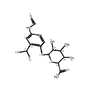 O=CNc1ccc(OC2OC(C(=O)O)C(O)C(O)C2O)c(C(F)F)c1